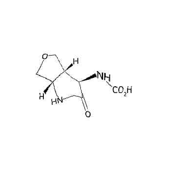 O=C(O)N[C@H]1C(=O)N[C@@H]2COC[C@@H]21